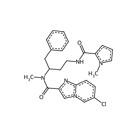 CN(C(=O)c1cn2cc(Cl)ccc2n1)C(CCNC(=O)c1cccn1C)Cc1ccccc1